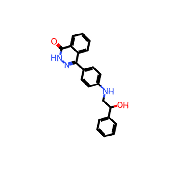 O=c1[nH]nc(-c2ccc(NCC(O)c3ccccc3)cc2)c2ccccc12